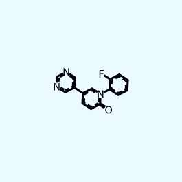 O=c1ccc(-c2cncnc2)cn1-c1ccccc1F